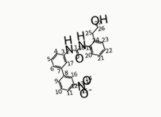 O=C(Nc1cccc(-c2cccc([N+](=O)[O-])c2)c1)Nc1ccccc1CCO